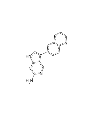 Nc1ncc2c(-c3ccc4ncccc4c3)c[nH]c2n1